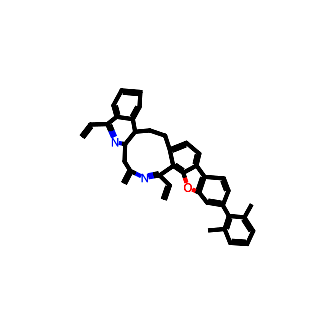 C=CC1=NC2CC(=C)/N=C(/C=C)c3c(ccc4c3oc3cc(-c5c(C)cccc5C)ccc34)CCC2c2ccccc21